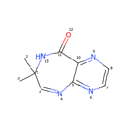 CC1(C)C=Nc2nccnc2C(=O)N1